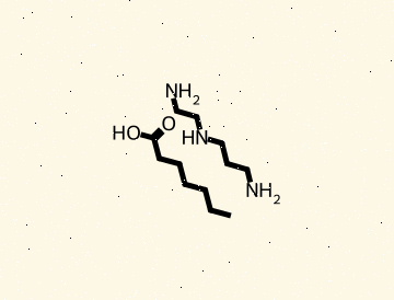 CCCCCCC(=O)O.NCCCNCCN